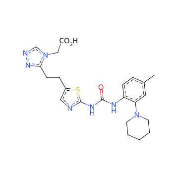 Cc1ccc(NC(=O)Nc2ncc(CCc3nncn3CC(=O)O)s2)c(N2CCCCC2)c1